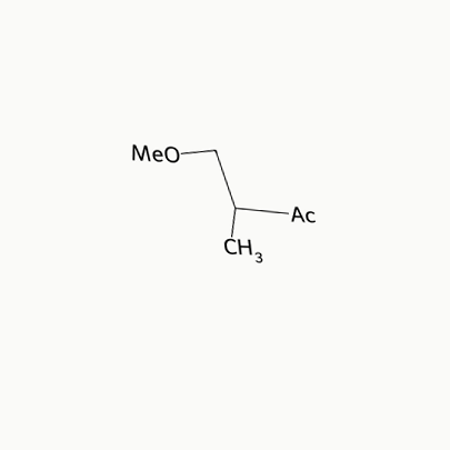 [CH2]OCC(C)C(C)=O